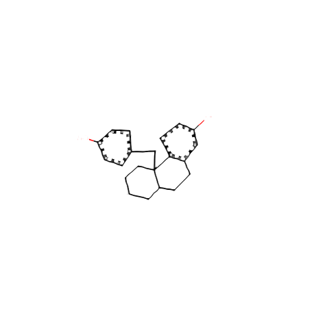 Oc1ccc(CC23CC[C]CC2CCc2cc(O)ccc23)cc1